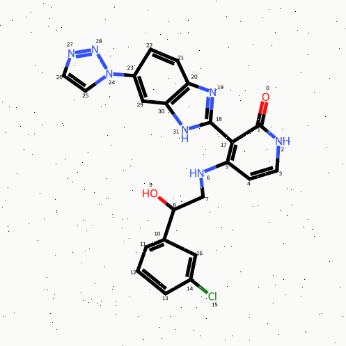 O=c1[nH]ccc(NCC(O)c2cccc(Cl)c2)c1-c1nc2ccc(-n3ccnn3)cc2[nH]1